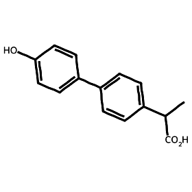 CC(C(=O)O)c1ccc(-c2ccc(O)cc2)cc1